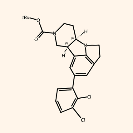 CC(C)(C)OC(=O)N1CC[C@@H]2[C@H](C1)c1cc(-c3cccc(Cl)c3Cl)cc3c1N2CC3